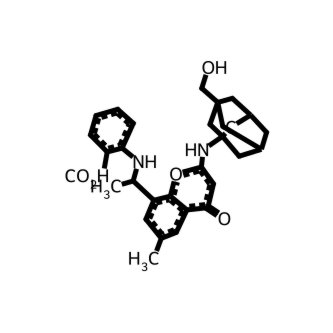 Cc1cc(C(C)Nc2ccccc2C(=O)O)c2oc(NC34CC5CC(CC(CO)(C5)C3)C4)cc(=O)c2c1